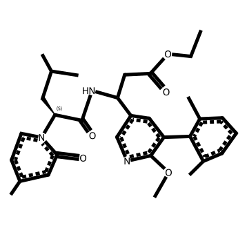 CCOC(=O)CC(NC(=O)[C@H](CC(C)C)n1ccc(C)cc1=O)c1cnc(OC)c(-c2c(C)cccc2C)c1